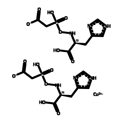 O=C([O-])CP(=O)(O)ON[C@@H](Cc1c[nH]cn1)C(=O)O.O=C([O-])CP(=O)(O)ON[C@@H](Cc1c[nH]cn1)C(=O)O.[Cu+2]